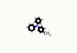 Cc1ccc(N(C2=CCC=CC=C2)c2ccccc2)cc1